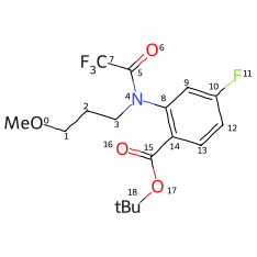 COCCCN(C(=O)C(F)(F)F)c1cc(F)ccc1C(=O)OC(C)(C)C